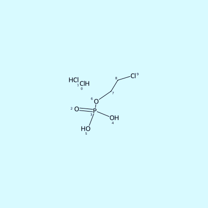 Cl.Cl.O=P(O)(O)OCCCl